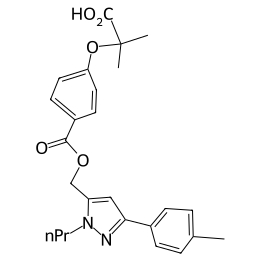 CCCn1nc(-c2ccc(C)cc2)cc1COC(=O)c1ccc(OC(C)(C)C(=O)O)cc1